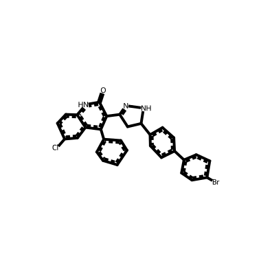 O=c1[nH]c2ccc(Cl)cc2c(-c2ccccc2)c1C1=NNC(c2ccc(-c3ccc(Br)cc3)cc2)C1